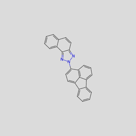 c1ccc2c(c1)-c1cccc3c(-n4nc5ccc6ccccc6c5n4)ccc-2c13